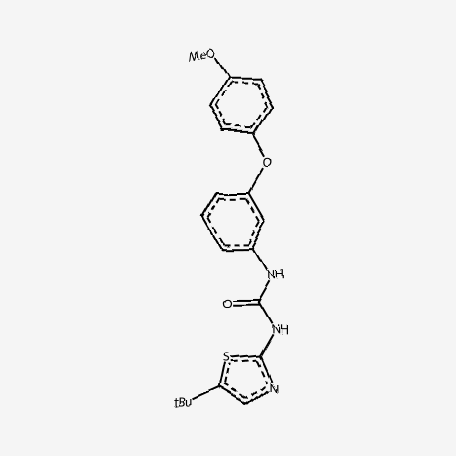 COc1ccc(Oc2cccc(NC(=O)Nc3ncc(C(C)(C)C)s3)c2)cc1